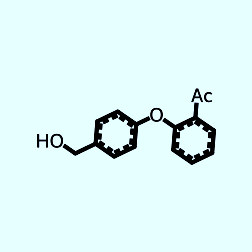 CC(=O)c1ccccc1Oc1ccc(CO)cc1